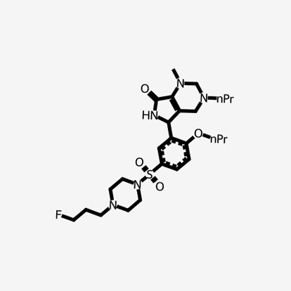 CCCOc1ccc(S(=O)(=O)N2CCN(CCCF)CC2)cc1C1NC(=O)C2=C1CN(CCC)CN2C